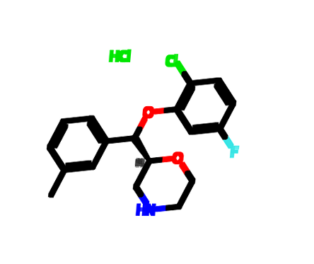 Cc1cccc(C(Oc2cc(F)ccc2Cl)[C@@H]2CNCCO2)c1.Cl